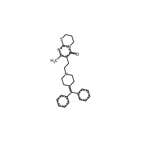 Cc1nc2n(c(=O)c1CCN1CCC(=C(c3ccccc3)c3ccccc3)CC1)CCCS2